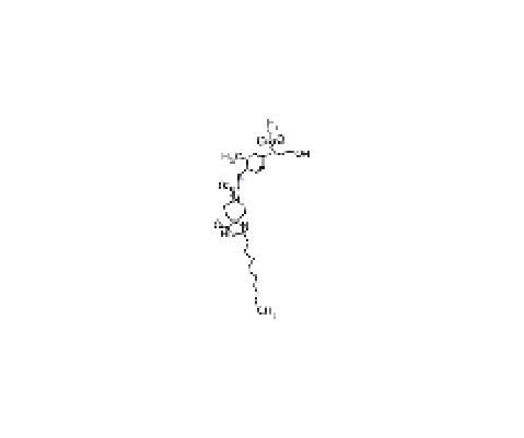 CCCCCCCCCC1=NC2(CCN([S+]([O-])/C=C/c3ccc(N(CCO)S(C)(=O)=O)cc3C)CC2)C(=O)N1